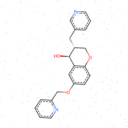 O[C@@H]1c2cc(OCc3ccccn3)ccc2OC[C@H]1Cc1cccnc1